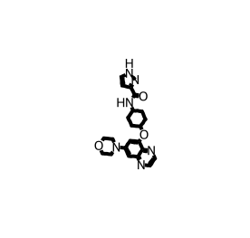 O=C(NC1CCC(Oc2cc(N3CCOCC3)cc3nccnc23)CC1)c1cc[nH]n1